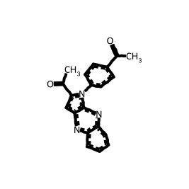 CC(=O)c1ccc(-n2c(C(C)=O)cc3nc4ccccc4nc32)cc1